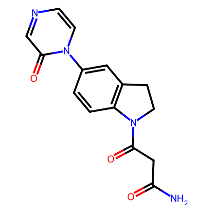 NC(=O)CC(=O)N1CCc2cc(-n3ccncc3=O)ccc21